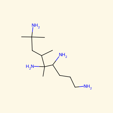 CC(CC(C)(C)N)C(C)(N)C(N)CCCN